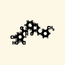 Cc1cccc(Cn2cnc3cccc(NC(=O)c4cc(Cl)c(O)c(Cl)c4)c3c2=O)c1